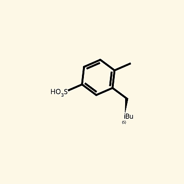 CC[C@H](C)Cc1cc(S(=O)(=O)O)ccc1C